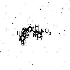 O=[N+]([O-])c1cccc2nc(-c3cccc(S(=O)(=O)Nc4ccc(Br)cc4Cl)c3)[nH]c12